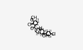 COc1cccc(C(=O)N2CCN3C[C@@](O)(c4ccc(Cl)cc4)CC[C@H]3C2)c1Cl